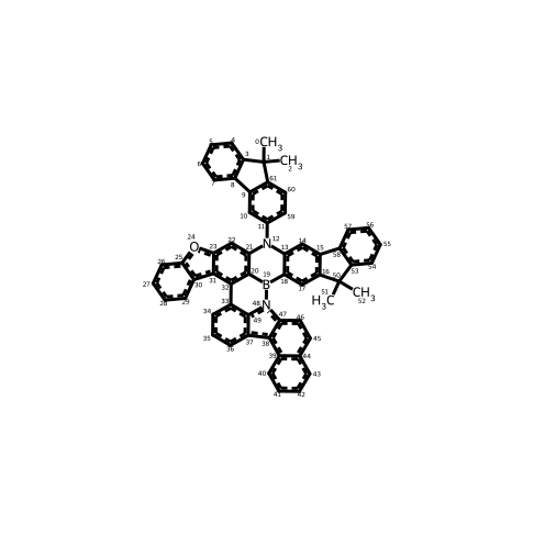 CC1(C)c2ccccc2-c2cc(N3c4cc5c(cc4B4c6c3cc3oc7ccccc7c3c6-c3cccc6c7c8ccccc8ccc7n4c36)C(C)(C)c3ccccc3-5)ccc21